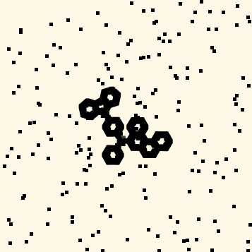 c1ccc(N(c2ccc(-n3c4ccccc4c4ccccc43)cc2)c2cc3ccc4ccccc4c3c3ccccc23)cc1